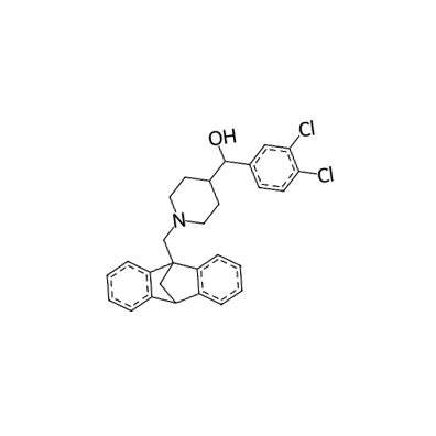 OC(c1ccc(Cl)c(Cl)c1)C1CCN(CC23CC(c4ccccc42)c2ccccc23)CC1